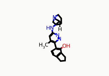 Cc1cc(N[C@@H]2CN3CCC2CC3)nnc1-c1ccc2c(c1O)CCC2